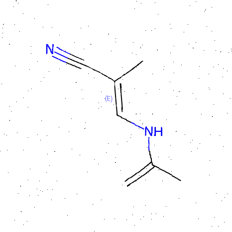 C=C(C)N/C=C(\C)C#N